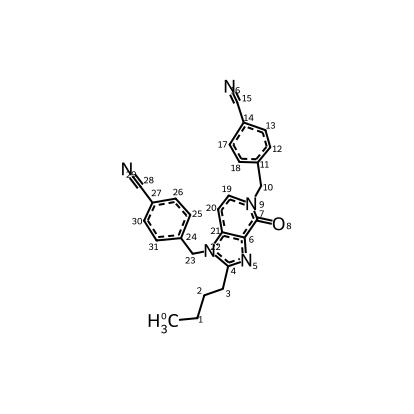 CCCCc1nc2c(=O)n(Cc3ccc(C#N)cc3)ccc2n1Cc1ccc(C#N)cc1